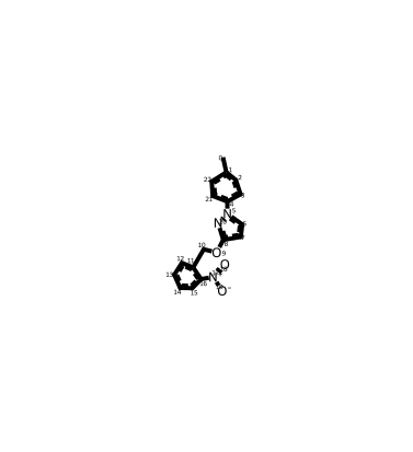 Cc1ccc(-n2ccc(OCc3ccccc3[N+](=O)[O-])n2)cc1